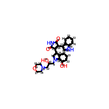 O=C1NC(=O)C(c2cn(CC(O)CN3CCOCC3)c3c(O)cccc23)=C1c1c[nH]c2ccccc12